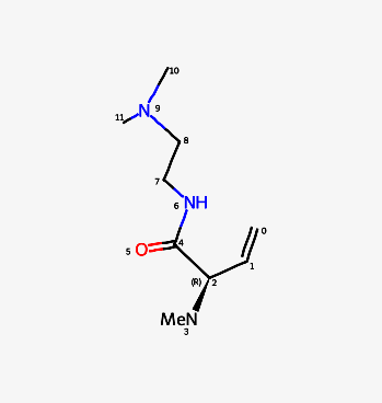 C=C[C@@H](NC)C(=O)NCCN(C)C